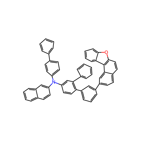 c1ccc(-c2ccc(N(c3ccc(-c4cccc(-c5ccc6ccc7oc8ccccc8c7c6c5)c4)c(-c4ccccc4)c3)c3ccc4ccccc4c3)cc2)cc1